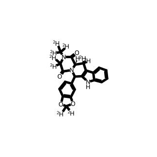 [2H]C1([2H])Oc2ccc(C3c4[nH]c5ccccc5c4C([2H])([2H])[C@@H]4C(=O)N(C([2H])([2H])[2H])C([2H])([2H])C(=O)N34)cc2O1